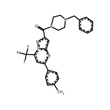 Cc1ccc(-c2cc(C(F)(F)F)n3nc(C(=O)N4CCN(Cc5ccccc5)CC4)cc3n2)cc1